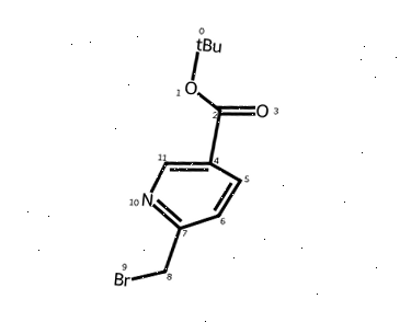 CC(C)(C)OC(=O)c1ccc(CBr)nc1